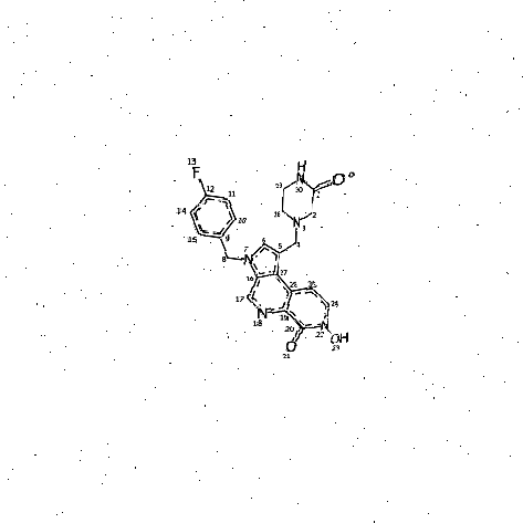 O=C1CN(Cc2cn(Cc3ccc(F)cc3)c3cnc4c(=O)n(O)ccc4c23)CCN1